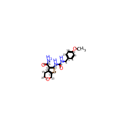 COc1ccc(CNC(=O)Nc2sc3c(c2C(N)=O)CCOC3)cc1